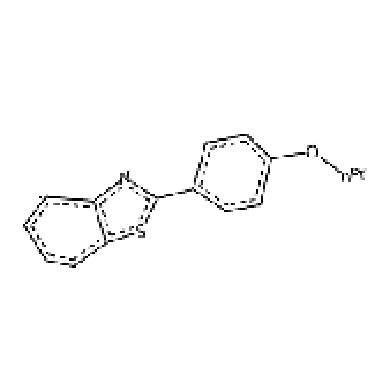 CCCOc1ccc(-c2nc3[c]cccc3s2)cc1